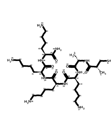 C[C@H](NC(=O)[C@@H](C)CS)C(=O)N[C@@H](CCCCN)C(=O)N[C@@H](CCCCN)C(=O)N[C@@H](CCCCN)C(=O)N[C@@H](CCCCN)C(N)=O